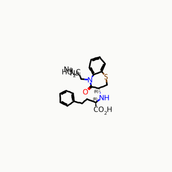 O=C(O)CN1C(=O)[C@@H](N[C@H](CCc2ccccc2)C(=O)O)CSc2ccccc21.[Na].[Na]